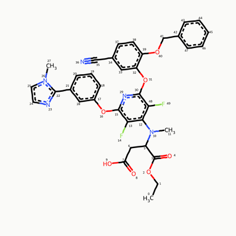 CCOC(=O)C(CC(=O)O)N(C)c1c(F)c(Oc2cccc(-c3nccn3C)c2)nc(Oc2cc(C#N)ccc2OCc2ccccc2)c1F